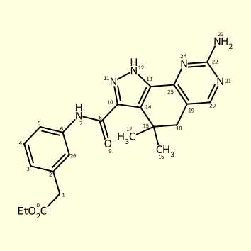 CCOC(=O)Cc1cccc(NC(=O)c2n[nH]c3c2C(C)(C)Cc2cnc(N)nc2-3)c1